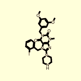 COc1cc(Cn2c(=O)c3c(nc(N4CCNCC4)n3Cc3ccccc3I)n(C)c2=O)cc(OC)c1